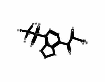 NC(=O)C(=O)c1ccc(S(=O)(=O)C(F)(F)F)c2c1CCC2